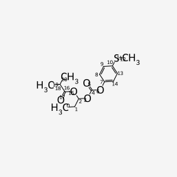 CCC(OC(=O)Oc1ccc(SC)cc1)OC(=O)C(C)C